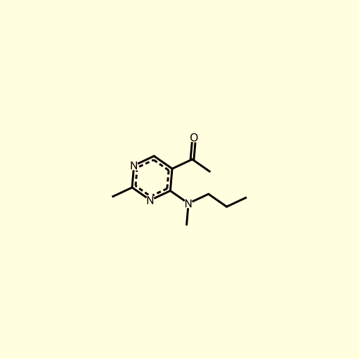 CCCN(C)c1nc(C)ncc1C(C)=O